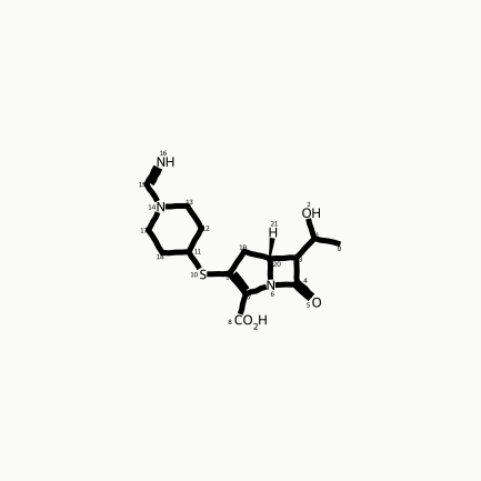 CC(O)C1C(=O)N2C(C(=O)O)=C(SC3CCN(C=N)CC3)C[C@H]12